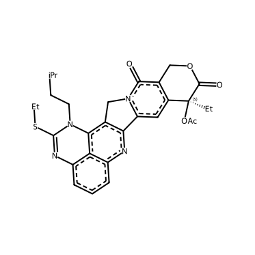 CCSC1=Nc2cccc3nc4c(c(c23)N1CCC(C)C)Cn1c-4cc2c(c1=O)COC(=O)[C@@]2(CC)OC(C)=O